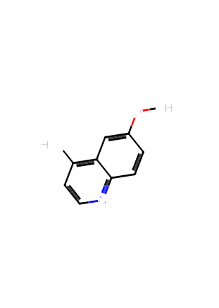 COc1ccc2nccc(C)c2c1